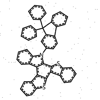 c1ccc(C2(c3ccccc3)c3ccccc3-c3ccc(-n4c5ccccc5c5c6c7ccccc7sc6c6c7ccccc7sc6c54)cc32)cc1